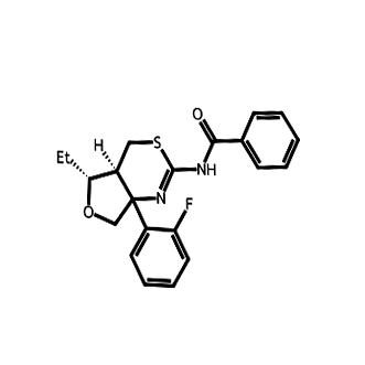 CC[C@H]1OCC2(c3ccccc3F)N=C(NC(=O)c3ccccc3)SC[C@H]12